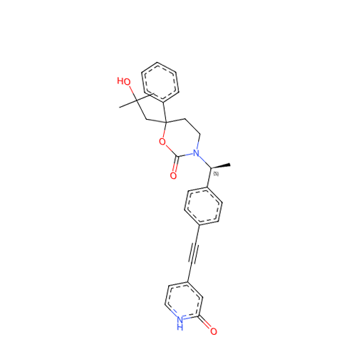 C[C@@H](c1ccc(C#Cc2cc[nH]c(=O)c2)cc1)N1CCC(CC(C)(C)O)(c2ccccc2)OC1=O